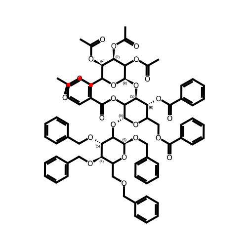 CC(=O)OCC1O[C@H](O[C@@H]2C(OC(=O)c3ccccc3)[C@@H](OC3[C@@H](OCc4ccccc4)OC(COCc4ccccc4)[C@@H](OCc4ccccc4)[C@@H]3OCc3ccccc3)OC(COC(=O)c3ccccc3)[C@H]2OC(=O)c2ccccc2)C(OC(C)=O)[C@H](OC(C)=O)[C@@H]1OC(C)=O